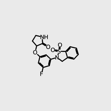 O=C1NCCC1Oc1cc(F)cc(N2Cc3ccccc3S2(=O)=O)c1